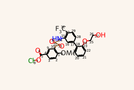 COc1ccc(C(=O)OCl)cc1S(=O)(=O)Nc1cc(-c2ccccc2OCCO)ccc1C(F)(F)F